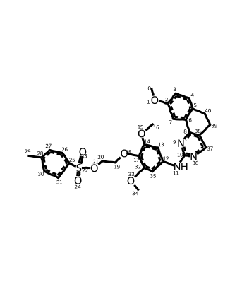 COc1ccc2c(c1)-c1nc(Nc3cc(OC)c(OCCOS(=O)(=O)c4ccc(C)cc4)c(OC)c3)ncc1CC2